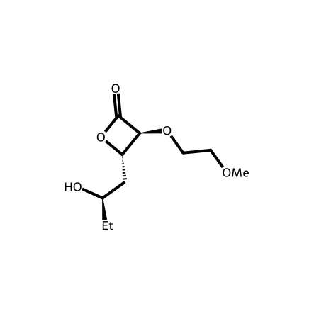 CC[C@@H](O)C[C@@H]1OC(=O)[C@H]1OCCOC